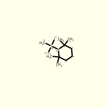 CC1(C)CCCC(C)(C)N1S(C)(I)I